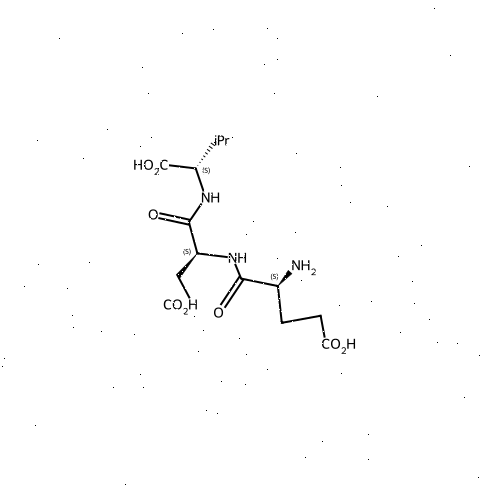 CC(C)[C@H](NC(=O)[C@H](CC(=O)O)NC(=O)[C@@H](N)CCC(=O)O)C(=O)O